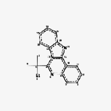 CCC(C)(C)c1nc2ccccc2c2nc3ccccc3n12